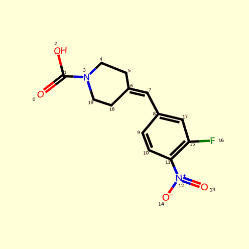 O=C(O)N1CCC(=Cc2ccc([N+](=O)[O-])c(F)c2)CC1